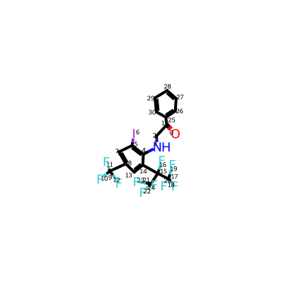 O=C(CNc1c(I)[c]c(C(F)(F)F)cc1C(F)(C(F)(F)F)C(F)(F)F)c1ccccc1